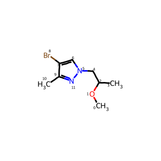 COC(C)Cn1cc(Br)c(C)n1